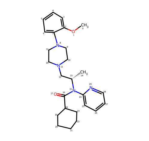 COc1ccccc1N1CCN(C[C@H](C)N(C(=O)C2CCCCC2)c2ccccn2)CC1